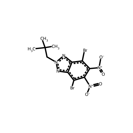 CC(C)(C)Cn1nc2c(Br)c([N+](=O)[O-])c([N+](=O)[O-])c(Br)c2n1